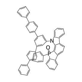 O=P1(c2ccccc2)c2ccccc2-c2ccc3c4ccccc4n(-c4cc(-c5ccc(-c6ccccc6)cc5)cc(-c5ccc(-c6ccccc6)cc5)c4)c3c21